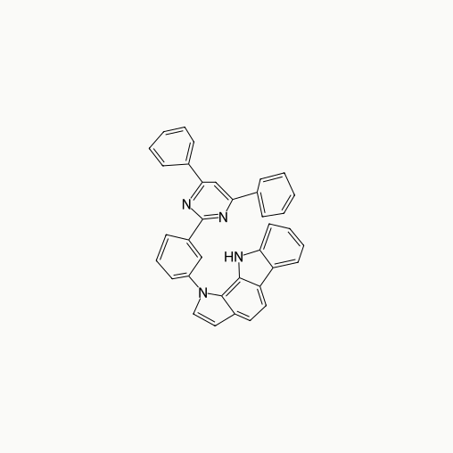 c1ccc(-c2cc(-c3ccccc3)nc(-c3cccc(-n4ccc5ccc6c7ccccc7[nH]c6c54)c3)n2)cc1